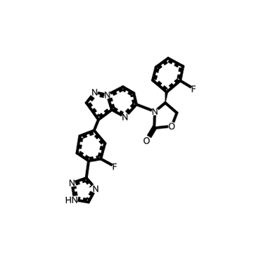 O=C1OC[C@H](c2ccccc2F)N1c1ccn2ncc(-c3ccc(-c4nc[nH]n4)c(F)c3)c2n1